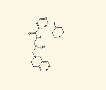 O=C(NC[C@H](O)CN1CCc2ccccc2C1)c1cc(OC2CCOCC2)ncn1